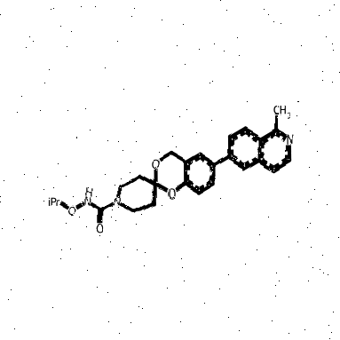 Cc1nccc2cc(-c3ccc4c(c3)COC3(CCN(C(=O)NOC(C)C)CC3)O4)ccc12